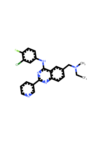 CN(Cc1ccc2nc(-c3cccnc3)nc(Nc3ccc(F)c(Cl)c3)c2c1)CC(F)(F)F